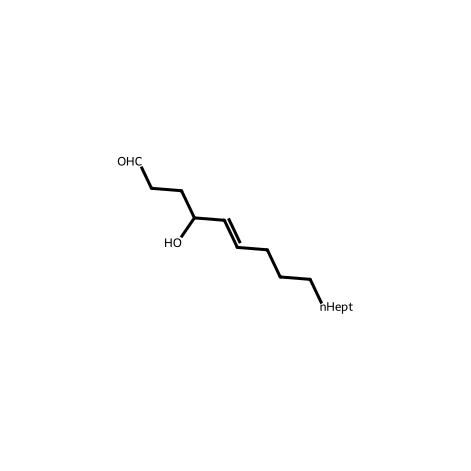 CCCCCCCCCC/C=C/C(O)CCC=O